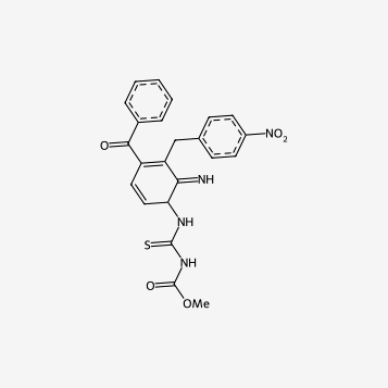 COC(=O)NC(=S)NC1C=CC(C(=O)c2ccccc2)=C(Cc2ccc([N+](=O)[O-])cc2)C1=N